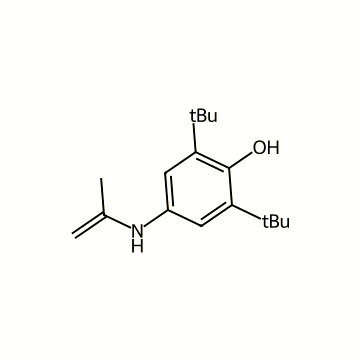 C=C(C)Nc1cc(C(C)(C)C)c(O)c(C(C)(C)C)c1